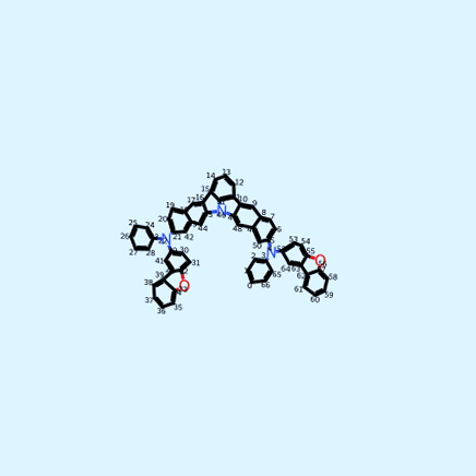 c1ccc(N(c2ccc3cc4c5cccc6c7cc8ccc(N(c9ccccc9)c9ccc%10oc%11ccccc%11c%10c9)cc8cc7n(c4cc3c2)c56)c2ccc3oc4ccccc4c3c2)cc1